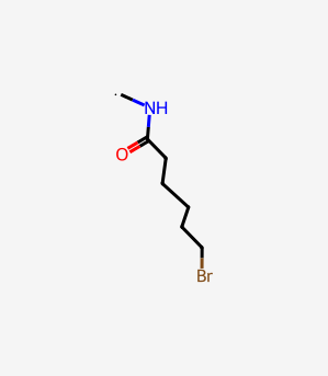 [CH2]NC(=O)CCCCCBr